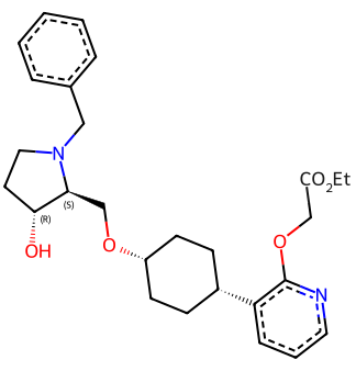 CCOC(=O)COc1ncccc1[C@H]1CC[C@@H](OC[C@H]2[C@H](O)CCN2Cc2ccccc2)CC1